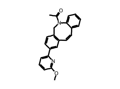 COc1cccc(-c2ccc3c(c2)/C=C\c2ccccc2N(C(C)=O)C3)n1